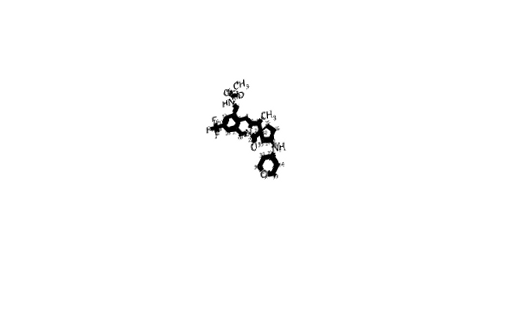 CC1C2Cc3c(CNS(C)(=O)=O)cc(C(F)(F)F)cc3CN2C(=O)[C@]12CC[C@@H](NC1CCOCC1)C2